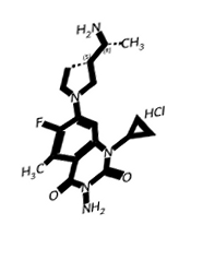 Cc1c(F)c(N2CC[C@H]([C@@H](C)N)C2)cc2c1c(=O)n(N)c(=O)n2C1CC1.Cl